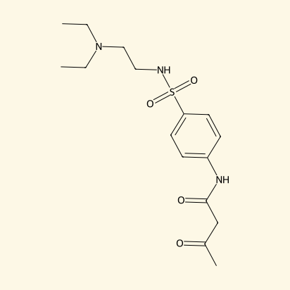 CCN(CC)CCNS(=O)(=O)c1ccc(NC(=O)CC(C)=O)cc1